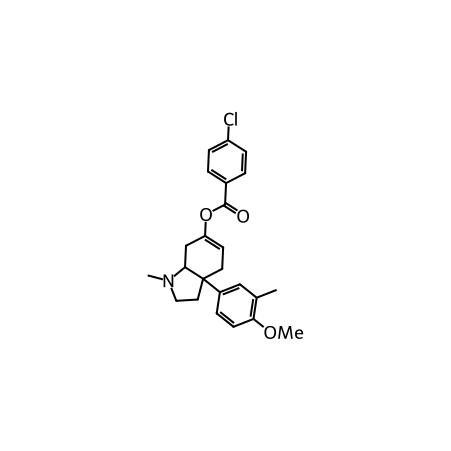 COc1ccc(C23CC=C(OC(=O)c4ccc(Cl)cc4)CC2N(C)CC3)cc1C